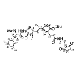 CN[C@H](C(=O)NC(C(=O)N(C)C/C=C(\C)C(=O)N[C@H](CCC(=O)NCCN1C(=O)C=CC1=O)C(=O)OC(C)(C)C)C(C)(C)C)C(C)(C)c1cc(C)cc(C)c1